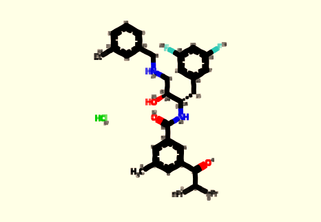 CCCC(CCC)C(=O)c1cc(C)cc(C(=O)N[C@@H](Cc2cc(F)cc(F)c2)[C@@H](O)CNCc2cccc(CC)c2)c1.Cl